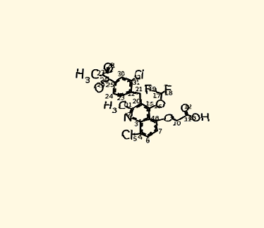 Cc1nc2c(Cl)ccc(OCC(=O)O)c2c(OC(F)F)c1Cc1ccc(S(C)(=O)=O)cc1Cl